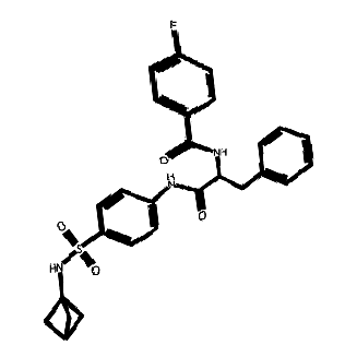 O=C(NC(Cc1ccccc1)C(=O)Nc1ccc(S(=O)(=O)NC23CC(C2)C3)cc1)c1ccc(F)cc1